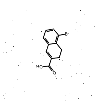 O=C(O)C1=Cc2cccc(Br)c2CC1